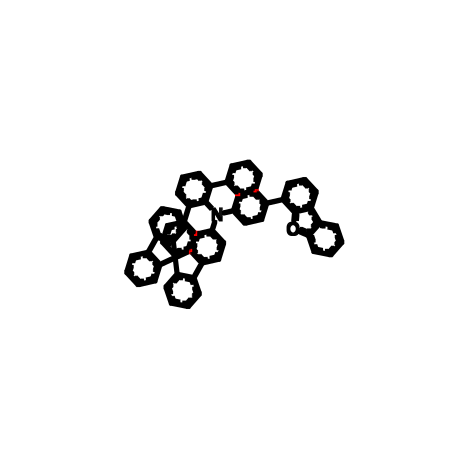 c1ccc(-c2cccc(-c3ccccc3)c2N(c2ccc(-c3cccc4c3oc3ccccc34)cc2)c2ccc3c(c2)C2(c4ccccc4-c4ccccc42)c2ccccc2-3)cc1